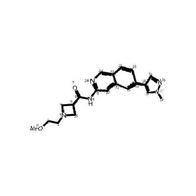 COCCN1CC(C(=O)Nc2cc3cc(-c4cnn(C)c4)ccc3cn2)C1